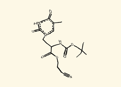 Cc1cn(CC(NC(=O)OC(C)(C)C)C(=O)OCC#N)c(=O)[nH]c1=O